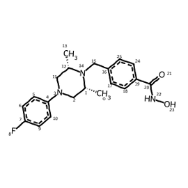 C[C@@H]1CN(c2ccc(F)cc2)C[C@H](C)N1Cc1ccc(C(=O)NO)cc1